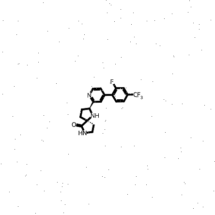 O=C1NCC[C@@]12CC[C@@H](c1cc(-c3ccc(C(F)(F)F)cc3F)ccn1)N2